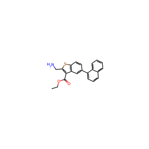 CCOC(=O)c1c(CN)sc2ccc(-c3cccc4ccccc34)cc12